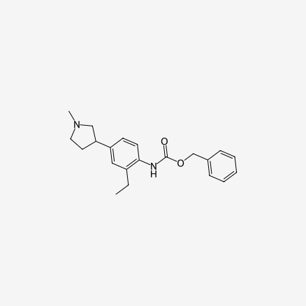 CCc1cc(C2CCN(C)C2)ccc1NC(=O)OCc1ccccc1